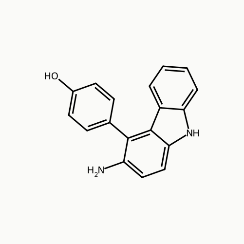 Nc1ccc2[nH]c3ccccc3c2c1-c1ccc(O)cc1